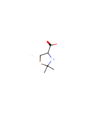 CC1(C)NC(C(=O)O)CS1.Cl